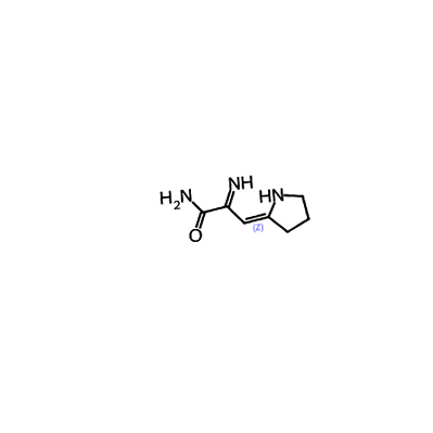 N=C(/C=C1/CCCN1)C(N)=O